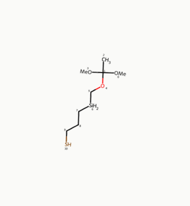 COC(C)(OC)OC[SiH2]CCCS